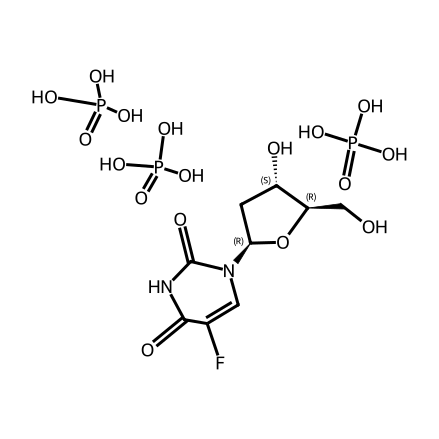 O=P(O)(O)O.O=P(O)(O)O.O=P(O)(O)O.O=c1[nH]c(=O)n([C@H]2C[C@H](O)[C@@H](CO)O2)cc1F